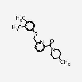 Cc1ccc(SCc2cccc(C(=O)N3CCC(C)CC3)n2)cc1C